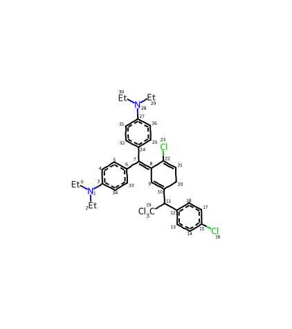 CCN(CC)c1ccc(C(=C2C=C(C(c3ccc(Cl)cc3)C(Cl)(Cl)Cl)CC=C2Cl)c2ccc(N(CC)CC)cc2)cc1